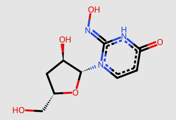 O=c1ccn([C@@H]2O[C@H](CO)C[C@H]2O)/c(=N/O)[nH]1